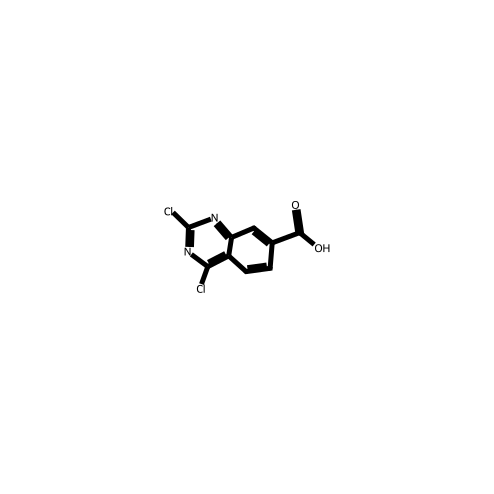 O=C(O)c1ccc2c(Cl)nc(Cl)nc2c1